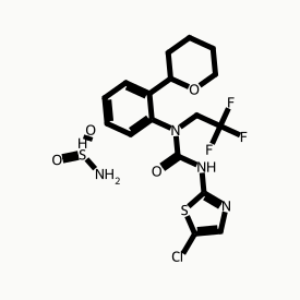 N[SH](=O)=O.O=C(Nc1ncc(Cl)s1)N(CC(F)(F)F)c1ccccc1C1CCCCO1